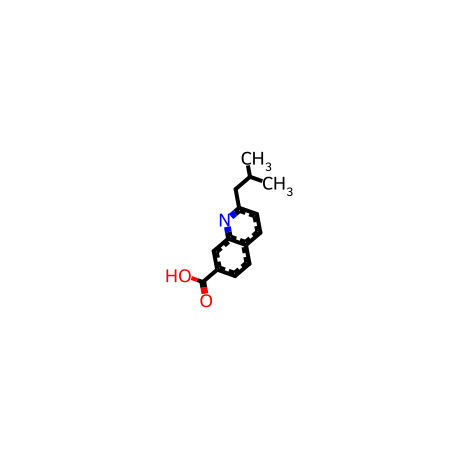 CC(C)Cc1ccc2ccc(C(=O)O)cc2n1